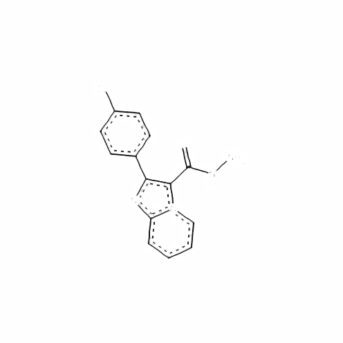 NNC(=O)c1c(-c2ccc(Cl)cc2)nc2ccccn12